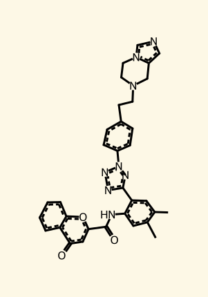 Cc1cc(NC(=O)c2cc(=O)c3ccccc3o2)c(-c2nnn(-c3ccc(CCN4CCn5cncc5C4)cc3)n2)cc1C